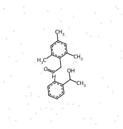 Cc1cc(C)c(C[PH](=O)c2ccccc2C(C)O)c(C)c1